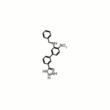 O=[N+]([O-])c1ccc(-c2cccc(C3=NNNN3)c2)cc1NCc1ccccc1